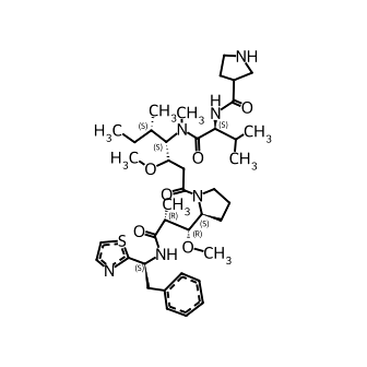 CC[C@H](C)[C@@H](C(CC(=O)N1CCC[C@H]1[C@H](OC)[C@@H](C)C(=O)N[C@@H](Cc1ccccc1)c1nccs1)OC)N(C)C(=O)[C@@H](NC(=O)C1CCNC1)C(C)C